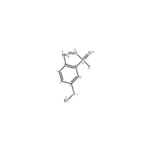 CCSc1ccc(N)c(P(C)(=O)OC)c1